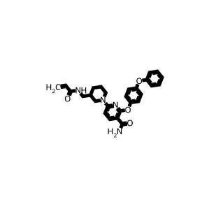 C=CC(=O)NCC1CCCN(c2ccc(C(N)=O)c(Oc3ccc(Oc4ccccc4)cc3)n2)C1